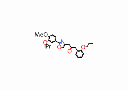 C=CCOc1ccccc1CC(=O)Cc1coc(-c2ccc(OC)c(OC(C)C)c2)n1